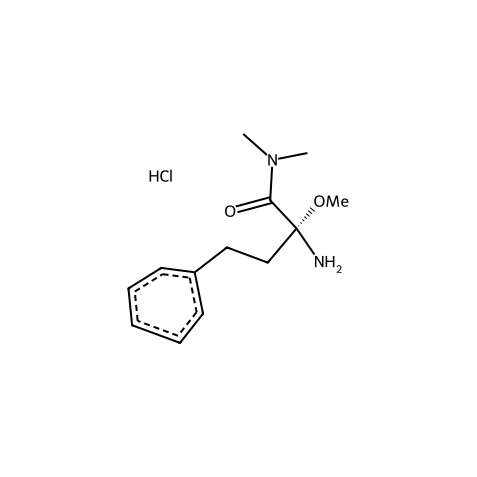 CO[C@](N)(CCc1ccccc1)C(=O)N(C)C.Cl